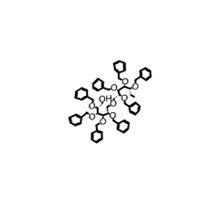 CC[C@@H](OCc1ccccc1)[C@@H](OCc1ccccc1)[C@H](OCc1ccccc1)[C@@H](COC[C@@H](OCc1ccccc1)[C@@H](OCc1ccccc1)[C@H](OCc1ccccc1)[C@@H](CO)OCc1ccccc1)OCc1ccccc1